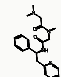 CN(C)CC(=O)N(C)CC(=O)NC(Cc1ccccn1)c1ccccc1